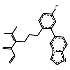 C=CC(=C)C(CCCc1ccc(F)cc1-c1ccc2nccn2c1)=C(C)C